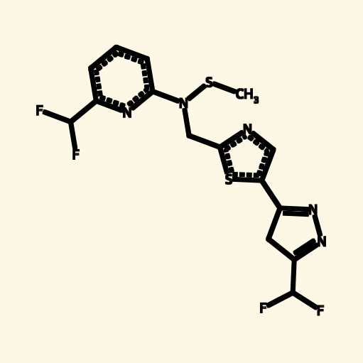 CSN(Cc1ncc(C2=NN=C(C(F)F)C2)s1)c1cccc(C(F)F)n1